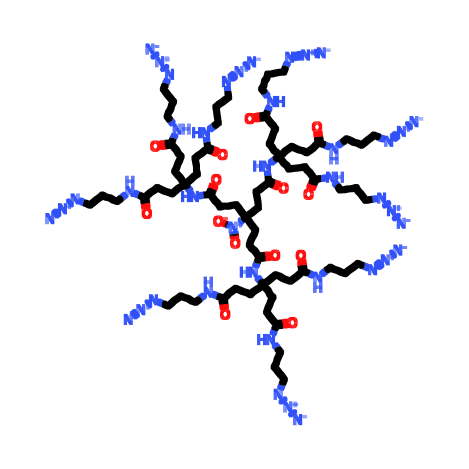 [N-]=[N+]=NCCCNC(=O)CCC(CCC(=O)NCCCN=[N+]=[N-])(CCC(=O)NCCCN=[N+]=[N-])NC(=O)CCC(CCC(=O)NC(CCC(=O)NCCCN=[N+]=[N-])(CCC(=O)NCCCN=[N+]=[N-])CCC(=O)NCCCN=[N+]=[N-])(CCC(=O)NC(CCC(=O)NCCCN=[N+]=[N-])(CCC(=O)NCCCN=[N+]=[N-])CCC(=O)NCCCN=[N+]=[N-])[N+](=O)[O-]